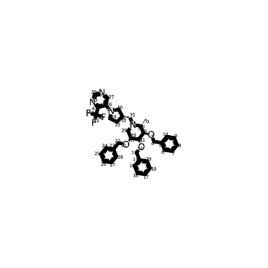 C[C@@H]1[C@@H](OCc2ccccc2)[C@H](OCc2ccccc2)[C@@H](OCc2ccccc2)CN1C[C@@H]1CCN(c2cncnc2C(F)(F)F)C1